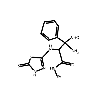 CC(C)NC(=O)C(Nc1n[nH]c(=S)s1)C(N)(C=O)c1ccccc1